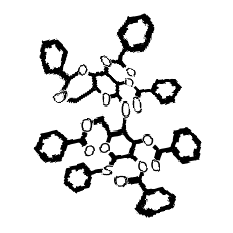 O=C(OCC1OC(Sc2ccccc2)C(OC(=O)c2ccccc2)C(OC(=O)c2ccccc2)C1OC1OC2COC(c3ccccc3)OC2C(OC(=O)c2ccccc2)C1OC(=O)c1ccccc1)c1ccccc1